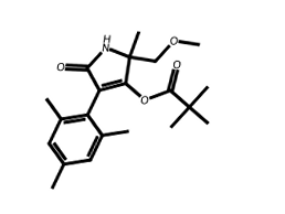 COCC1(C)NC(=O)C(c2c(C)cc(C)cc2C)=C1OC(=O)C(C)(C)C